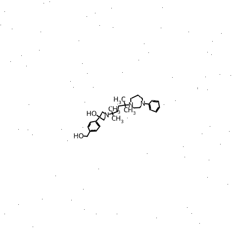 CC(C)(CCC(C)(C)N1CC(O)(c2ccc(CO)cc2)C1)N1CCCN(c2ccccc2)CC1